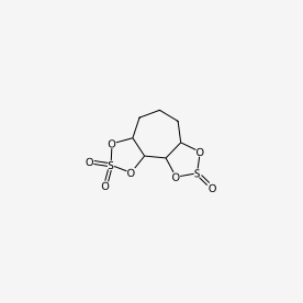 O=S1OC2CCCC3OS(=O)(=O)OC3C2O1